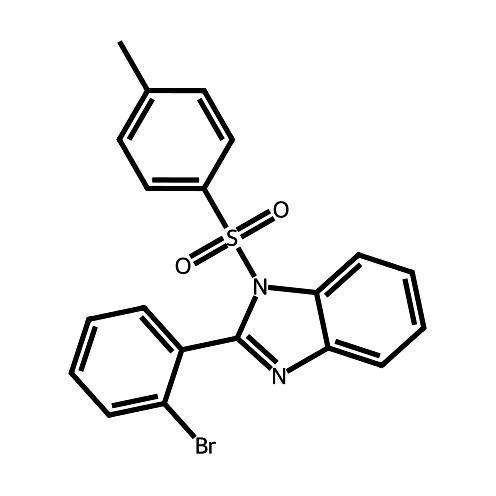 Cc1ccc(S(=O)(=O)n2c(-c3ccccc3Br)nc3ccccc32)cc1